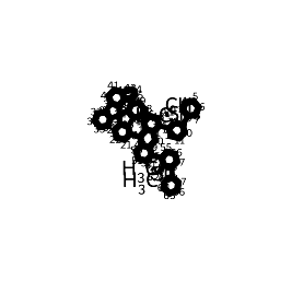 C[Si]1(C)c2ccccc2-c2cccc(-c3cccc4c(-c5cccc6c5-c5ccccc5C65c6ccccc6-c6ccc7ccccc7c65)c5cccc(-c6cccc7c6[Si](C)(C)c6ccccc6-7)c5cc34)c21